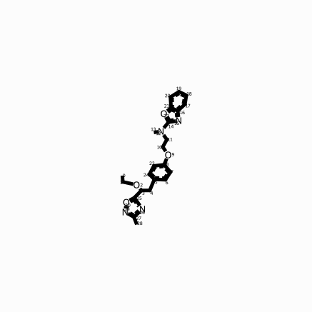 CCOC(Cc1ccc(OCCN(C)c2nc3ccccc3o2)cc1)c1nc(C)no1